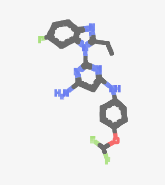 CCc1nc2ccc(F)cc2n1-c1nc(N)cc(Nc2ccc(OC(F)F)cc2)n1